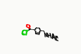 CC(=O)NCc1ccc(C(=O)Cl)cc1